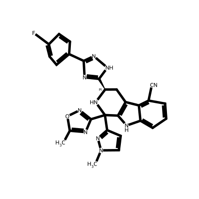 Cc1nc(C2(c3ccn(C)n3)N[C@@H](c3nc(-c4ccc(F)cc4)n[nH]3)Cc3c2[nH]c2cccc(C#N)c32)no1